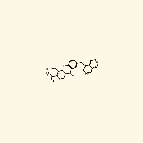 CC[C@H]1CN(C(=O)c2cc(CN3CN=Cc4ccccc43)ccc2F)CCN1C(C)C